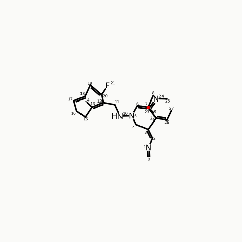 C=N/C=C(CN(C=C(C)C)NCC1=C(/C)CC/C=C/C=C\1F)/C(/C=N\C)=C/C